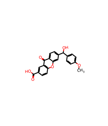 COc1ccc(C(O)c2ccc3c(=O)c4cc(C(=O)O)ccc4oc3c2)cc1